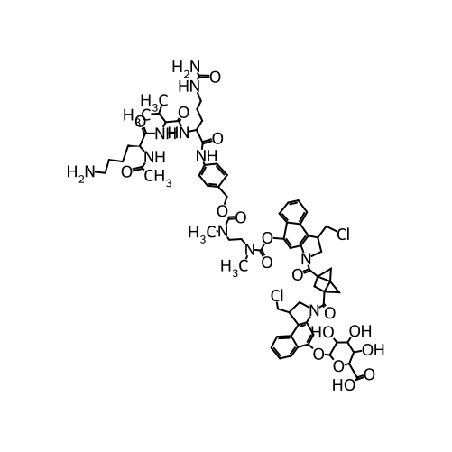 CC(=O)N[C@@H](CCCCN)C(=O)NC(C(=O)NC(CCCNC(N)=O)C(=O)Nc1ccc(COC(=O)N(C)CCN(C)C(=O)Oc2cc3c(c4ccccc24)C(CCl)CN3C(=O)C23CC4(C(=O)N5CC(CCl)c6c5cc(OC5OC(C(=O)O)C(O)C(O)C5O)c5ccccc65)CC24C3)cc1)C(C)C